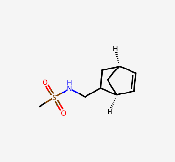 CS(=O)(=O)NCC1C[C@H]2C=C[C@@H]1C2